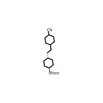 CCCCC[C@H]1CC[C@H](CCC2CCC(C#N)CC2)CC1